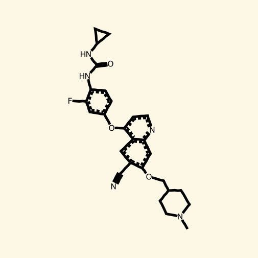 CN1CCC(COc2cc3nccc(Oc4ccc(NC(=O)NC5CC5)c(F)c4)c3cc2C#N)CC1